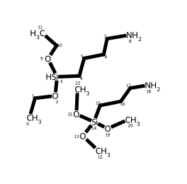 CCO[SiH](CCCCN)OCC.CO[Si](CCCN)(OC)OC